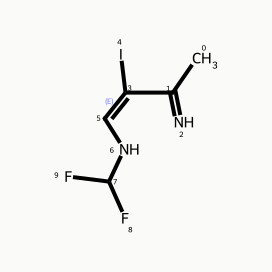 CC(=N)/C(I)=C\NC(F)F